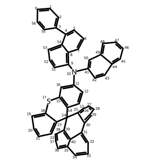 c1ccc(-c2cccc3c(N(c4ccc5c(c4)Sc4ccccc4C54c5ccccc5-c5cccc6cccc4c56)c4ccc5ccccc5c4)cccc23)cc1